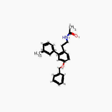 CC(=O)NCCc1ccc(OCc2ccccc2)cc1-c1cccc(C)c1